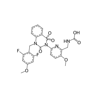 COc1cc(F)c(CN2C(=O)N(c3ccc(OC)c(CNC(=O)O)n3)S(=O)(=O)c3ccccc32)c(F)c1